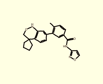 Cc1ccc(C(=O)Nc2ccon2)cc1-c1ccc2c(c1)NOCC21CCCC1